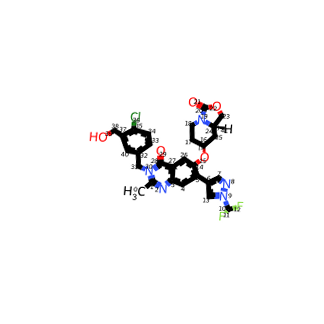 Cc1nc2cc(-c3cnn(C(F)F)c3)c(O[C@H]3CCN4C(=O)OC[C@@H]4C3)cc2c(=O)n1Cc1ccc(Cl)c(CO)c1